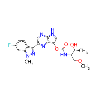 COCC(NC(=O)Oc1c[nH]c2ncc(-c3nn(C)c4cc(F)ccc34)nc12)[C@H](C)O